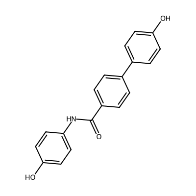 O=C(Nc1ccc(O)cc1)c1ccc(-c2ccc(O)cc2)cc1